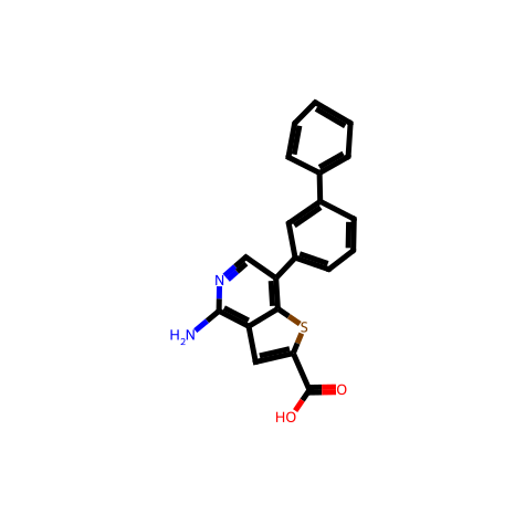 Nc1ncc(-c2cccc(-c3ccccc3)c2)c2sc(C(=O)O)cc12